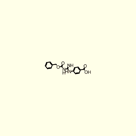 N=C(NC(=O)OCc1ccccc1)Nc1ccc(C(=O)O)cc1